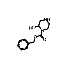 N#CC1CNCCN1C(=O)OCc1ccccc1